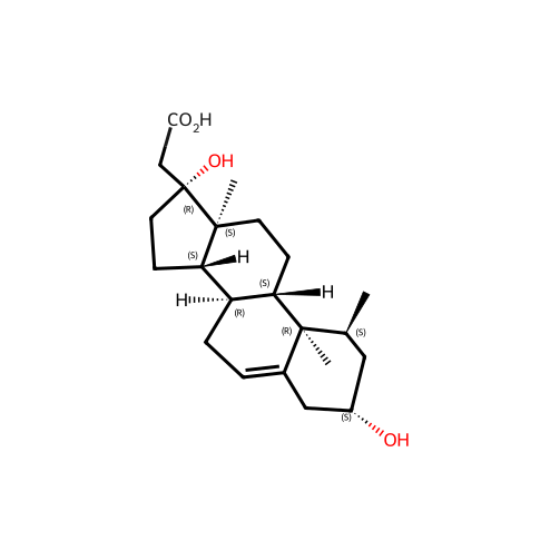 C[C@H]1C[C@H](O)CC2=CC[C@@H]3[C@H](CC[C@@]4(C)[C@H]3CC[C@@]4(O)CC(=O)O)[C@]21C